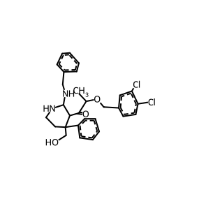 CC(OCc1ccc(Cl)c(Cl)c1)C(=O)C1C(NCc2ccccc2)NCCC1(CO)c1ccccc1